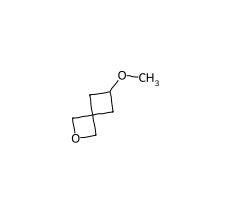 COC1CC2(COC2)C1